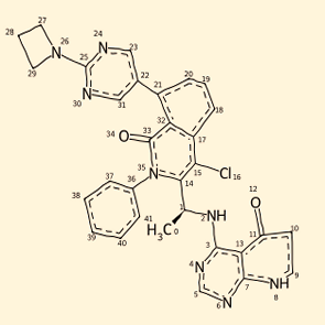 C[C@H](Nc1ncnc2[nH]ccc(=O)c12)c1c(Cl)c2cccc(-c3cnc(N4CCC4)nc3)c2c(=O)n1-c1ccccc1